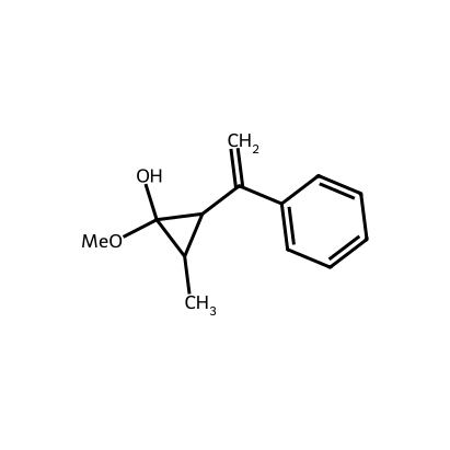 C=C(c1ccccc1)C1C(C)C1(O)OC